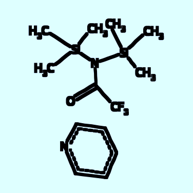 C[Si](C)(C)N(C(=O)C(F)(F)F)[Si](C)(C)C.c1ccncc1